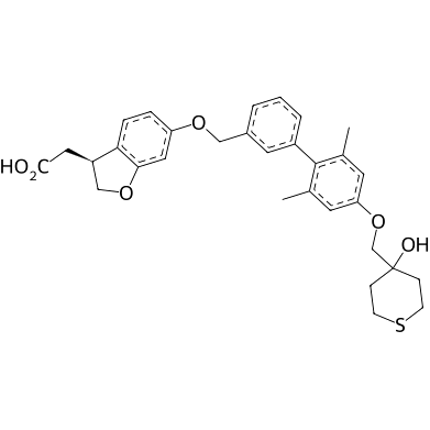 Cc1cc(OCC2(O)CCSCC2)cc(C)c1-c1cccc(COc2ccc3c(c2)OC[C@H]3CC(=O)O)c1